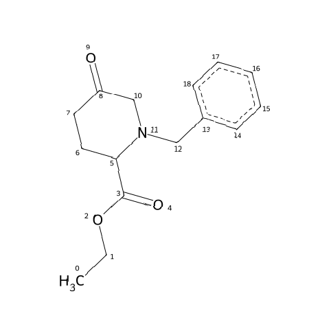 CCOC(=O)C1CCC(=O)CN1Cc1ccccc1